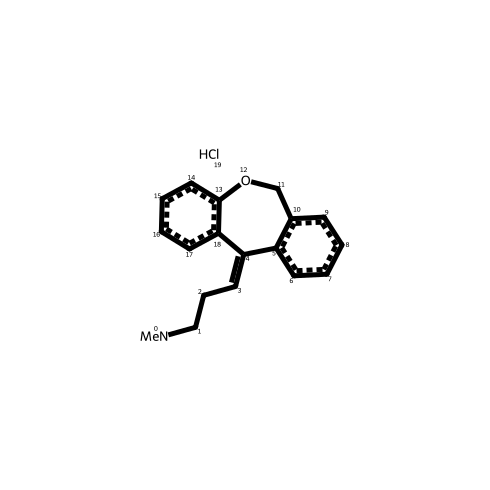 CNCC/C=C1/c2ccccc2COc2ccccc21.Cl